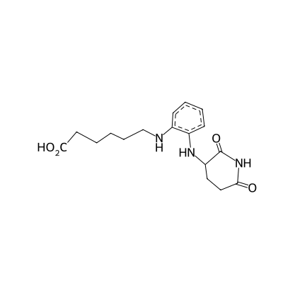 O=C(O)CCCCCNc1ccccc1NC1CCC(=O)NC1=O